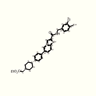 CCOC(=O)C[C@H]1CC[C@H](c2ccc(-c3ccc4nc(C(=O)NCc5ccc(F)c(Cl)c5)cn4c3)cc2)CC1